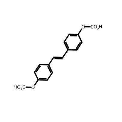 O=C(O)Oc1ccc(C=Cc2ccc(OC(=O)O)cc2)cc1